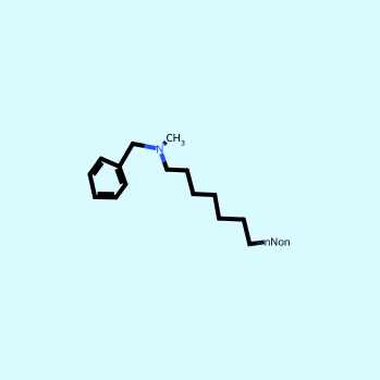 CCCCCCCCCCCCCCCCN(C)Cc1ccccc1